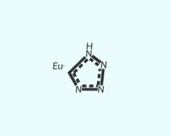 [Eu].c1nnn[nH]1